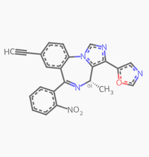 C#Cc1ccc2c(c1)C(c1ccccc1[N+](=O)[O-])=N[C@@H](C)c1c(-c3cnco3)ncn1-2